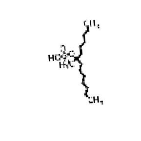 CCCCCCCC(C)(CCCCCC)OS(=O)(=O)O